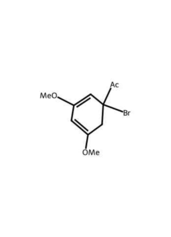 COC1=CC(Br)(C(C)=O)CC(OC)=C1